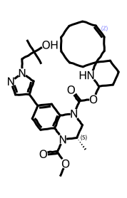 COC(=O)N1c2ccc(-c3cnn(CC(C)(C)O)c3)cc2N(C(=O)OC2CCCC3(C/C=C\CCCCCC3)N2)C[C@@H]1C